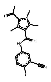 CC(=O)c1c(C)c(C(=O)Nc2ccc(F)c(C#N)c2)c(C)n1C